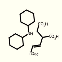 C1CCC(NC2CCCCC2)CC1.CCCCCCCCCCC=CC(CC(=O)O)C(=O)O